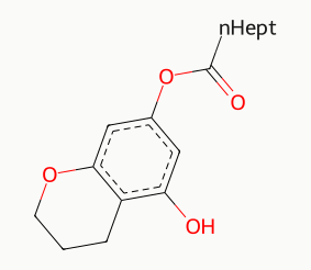 CCCCCCCC(=O)Oc1cc(O)c2c(c1)OCCC2